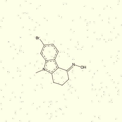 Cn1c2c(c3ccc(Br)cc31)C(=NO)CCC2